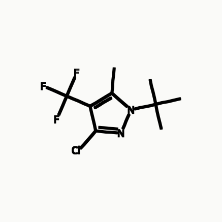 Cc1c(C(F)(F)F)c(Cl)nn1C(C)(C)C